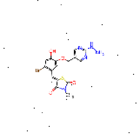 CN1C(=O)S/C(=C\c2cc(OCc3cnc(NN)nc3)c(O)cc2Br)C1=O